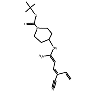 C=C/C(C#N)=C\C=C(/N)NC1CCN(C(=O)OC(C)(C)C)CC1